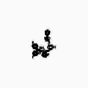 N[C@H](C(=O)Nc1cccc(F)c1CC[C@@H]1CNC[C@@H](CSc2nnc(C3C=CN=CC3)o2)O1)C(c1ccc(F)cc1)c1ccc(F)cc1